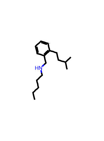 CCCCCNCc1ccc[c]c1CCC(C)C